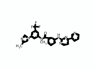 Cc1cn(-c2cc(N(C)C(=O)c3cccc(Nc4nccc(-c5cccnc5)n4)c3)cc(C(F)(F)F)c2)cn1